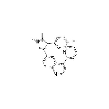 CN1C=C(c2ccc3nccc(-c4ccccn4)c3c2)C(c2ccc(F)cc2)N1